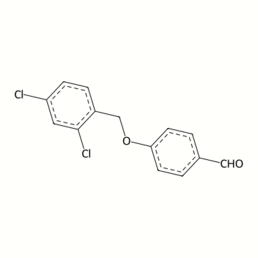 O=Cc1ccc(OCc2ccc(Cl)cc2Cl)cc1